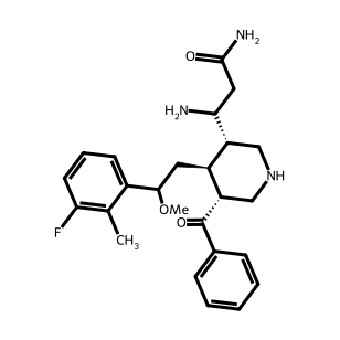 COC(C[C@@H]1[C@@H](C(=O)c2ccccc2)CNC[C@H]1C(N)CC(N)=O)c1cccc(F)c1C